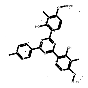 CCCCCCOc1ccc(-c2nc(-c3ccc(C)cc3)nc(-c3ccc(OCCCCCC)c(C)c3O)n2)c(O)c1C